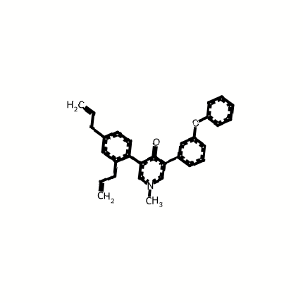 C=CCc1ccc(-c2cn(C)cc(-c3cccc(Oc4ccccc4)c3)c2=O)c(CC=C)c1